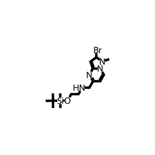 CN1C(Br)C=C2N=C(CNCCO[Si](C)(C)C(C)(C)C)C=CN21